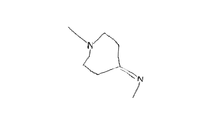 CN=C1CCN(C)CC1